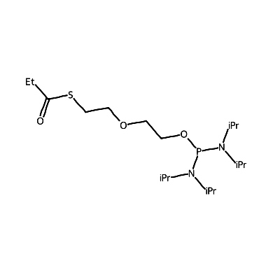 CCC(=O)SCCOCCOP(N(C(C)C)C(C)C)N(C(C)C)C(C)C